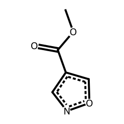 COC(=O)c1cnoc1